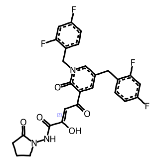 O=C(NN1CCCC1=O)/C(O)=C/C(=O)c1cc(Cc2ccc(F)cc2F)cn(Cc2ccc(F)cc2F)c1=O